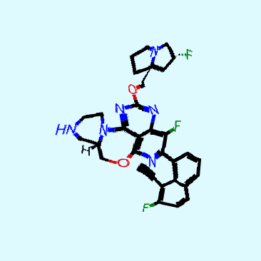 C#Cc1c(F)ccc2cccc(-c3nc4c5c(nc(OC[C@@]67CCCN6C[C@H](F)C7)nc5c3F)N3CCNC[C@H]3CO4)c12